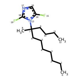 CCCCCCCC(C)(CCCC)n1c(F)cnc1F